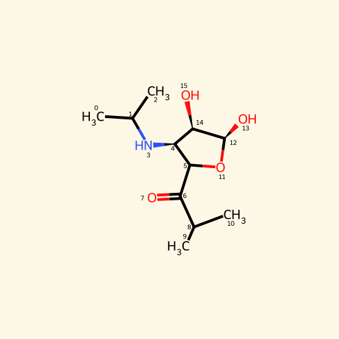 CC(C)N[C@@H]1C(C(=O)C(C)C)O[C@H](O)[C@@H]1O